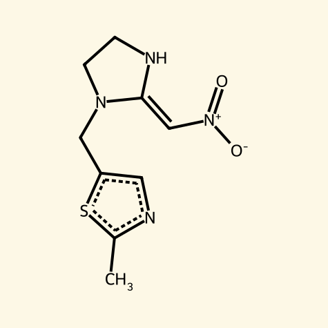 Cc1ncc(CN2CCN/C2=C\[N+](=O)[O-])s1